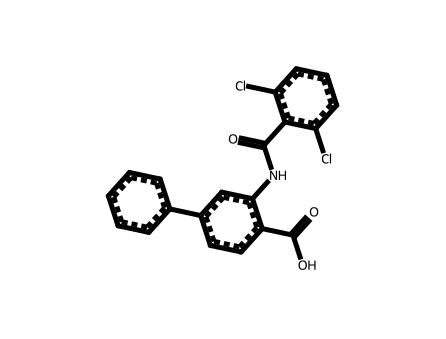 O=C(O)c1ccc(-c2ccccc2)cc1NC(=O)c1c(Cl)cccc1Cl